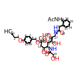 C#CCCOc1ccc(CO[C@]2(C(=O)O)C[C@H](O)[C@@H](NC(=O)CO)[C@H]([C@H](O)[C@H](O)CNC(=O)Cc3ccccc3NC(C)=O)O2)cc1